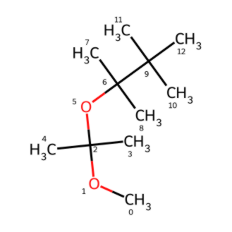 COC(C)(C)OC(C)(C)C(C)(C)C